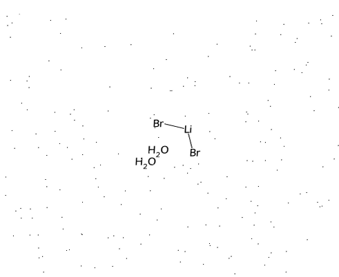 O.O.[Br][Li][Br]